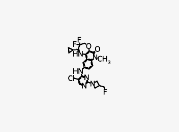 Cn1c(=O)c2c(c3cc(Nc4nc(N5CC(CF)C5)ncc4Cl)ccc31)N[C@@H](C1CC1)C(F)(F)CO2